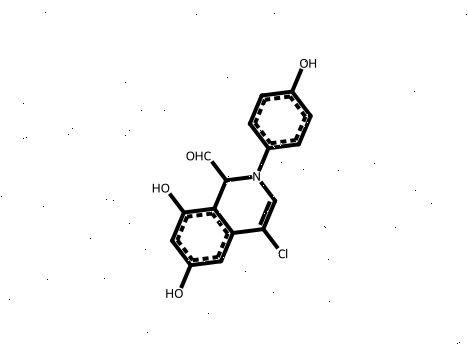 O=CC1c2c(O)cc(O)cc2C(Cl)=CN1c1ccc(O)cc1